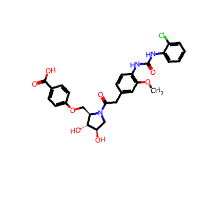 COc1cc(CC(=O)N2C[C@@H](O)[C@H](O)[C@H]2COc2ccc(C(=O)O)cc2)ccc1NC(=O)Nc1ccccc1Cl